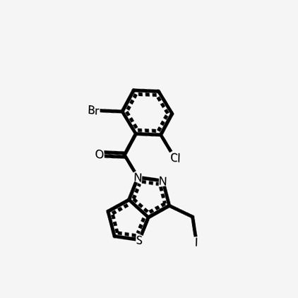 O=C(c1c(Cl)cccc1Br)n1nc(CI)c2sccc21